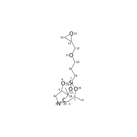 CC1CN2CC3O[Si](CCCOCC4CO4)(O1)OC3(C)C2